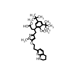 COc1c(C(CC(=O)O)Cc2cc(OCCc3ccc4c(n3)NCCC4)n(C)n2)cc(C(C)(C)C)cc1C(C)(C)C